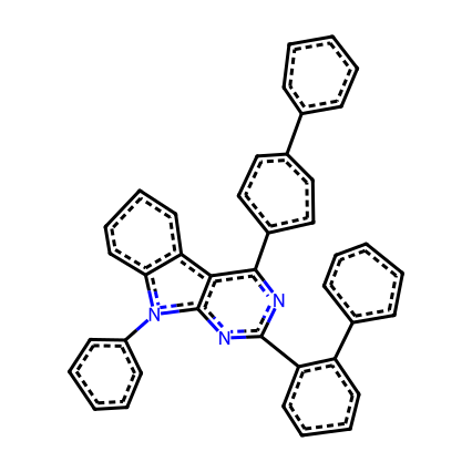 c1ccc(-c2ccc(-c3nc(-c4ccccc4-c4ccccc4)nc4c3c3ccccc3n4-c3ccccc3)cc2)cc1